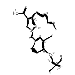 C=C(O)c1cn(Cc2ccc(OCC(C)(C)F)c(C)c2)nc1/C=C\CCC